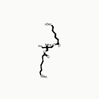 CCCCCCCCCCCCCCCC(=O)OCC(N)(CO)COC(=O)CCCCCCCCCCCCCCC